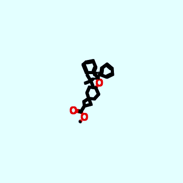 COC(=O)C1CC2(CCC(O[Si](c3ccccc3)(c3ccccc3)C(C)(C)C)CC2)C1